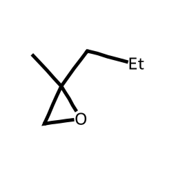 CCCC1(C)CO1